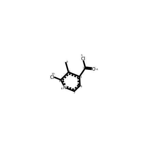 Cc1c(C(=O)Cl)ccnc1Cl